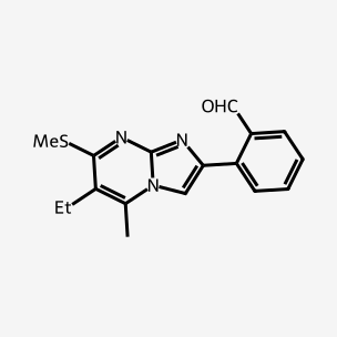 CCc1c(SC)nc2nc(-c3ccccc3C=O)cn2c1C